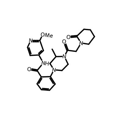 COc1cc(NC(=O)c2ccccc2N2CCN(C(=O)CN3CCCCC3=O)C(C)C2)ccn1